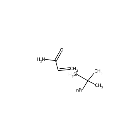 C=CC(N)=O.CCCC(C)(C)[SiH3]